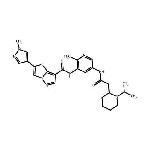 Cc1ncc(NC(=O)CC2CCCCN2C(C)C)cc1NC(=O)c1cnn2cc(-c3cnn(C)c3)sc12